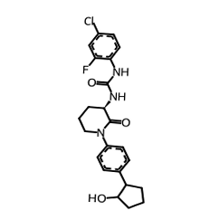 O=C(Nc1ccc(Cl)cc1F)N[C@@H]1CCCN(c2ccc(C3CCCC3O)cc2)C1=O